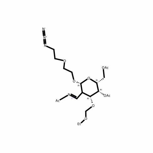 CCOCO[C@@H]1C(/C=N/C(C)=O)[C@H](OCCOCCN=[N+]=[N-])O[C@H](COC(C)=O)[C@@H]1OC(C)=O